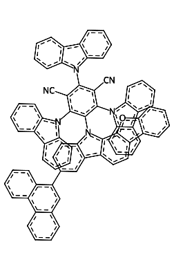 N#Cc1c(-n2c3ccccc3c3ccccc32)c(C#N)c(-n2c3ccccc3c3ccccc32)c(-n2c3ccc(-c4cc5ccccc5c5ccccc45)cc3c3ccc4c5ccccc5oc4c32)c1-n1c2ccccc2c2ccccc21